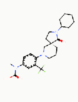 CN(C(=O)O)c1ccc(N2CCC[C@]3(CCN(C4CCCCC4)C3=O)C2)c(C(F)(F)F)c1